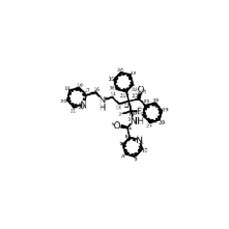 CCC(C)(NC(=O)c1ccccn1)C(CCNCc1ccccn1)(C(=O)c1ccccc1)c1ccccc1